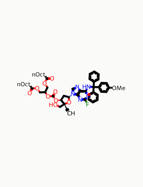 C#C[C@]1(CO)O[C@@H](n2cnc3c(NC(c4ccccc4)(c4ccccc4)c4ccc(OC)cc4)nc(F)nc32)C[C@@H]1OC(=O)OC(COC(=O)CCCCCCCC)COC(=O)CCCCCCCC